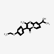 CC(O)c1ccn2c(=O)c(-c3ccc(OCC(F)(F)F)cc3)c(C(F)(F)F)nc2c1